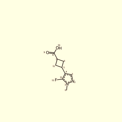 Cn1ncc(C2CC(C(=O)O)C2)c1F